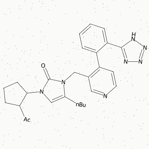 CCCCc1cn(C2CCCC2C(C)=O)c(=O)n1Cc1cnccc1-c1ccccc1-c1nnn[nH]1